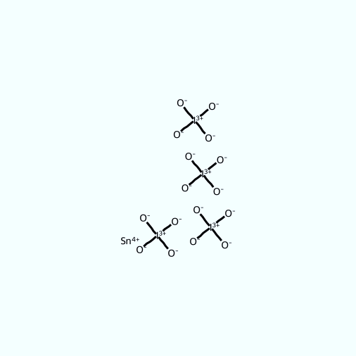 [O-][I+3]([O-])([O-])[O-].[O-][I+3]([O-])([O-])[O-].[O-][I+3]([O-])([O-])[O-].[O-][I+3]([O-])([O-])[O-].[Sn+4]